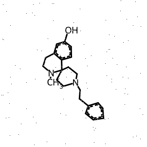 CN1CCc2cc(O)ccc2C12CCN(CCc1ccccc1)CC2